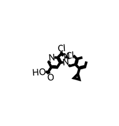 C/C=C(\C(Cn1nc(Cl)c2ncc(C(=O)O)cc21)=C(/C)Cl)C1CC1